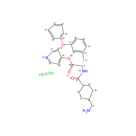 Cl.Cl.NCC1CCC(C(=O)N[C@@H](Cc2cccc(Oc3ccccc3)c2)C(=O)Oc2ccncc2)CC1